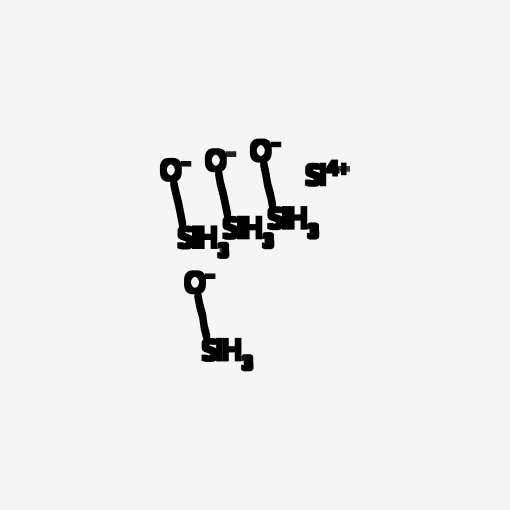 [O-][SiH3].[O-][SiH3].[O-][SiH3].[O-][SiH3].[Si+4]